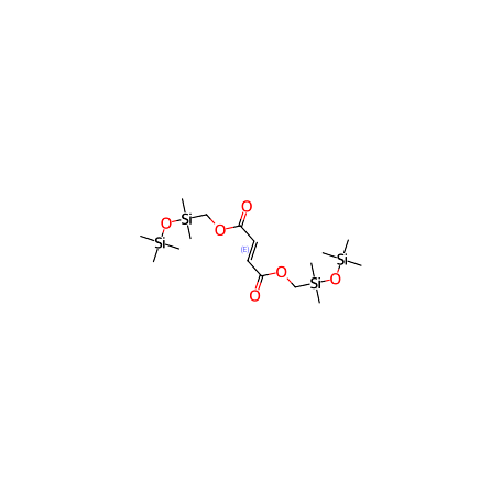 C[Si](C)(C)O[Si](C)(C)COC(=O)/C=C/C(=O)OC[Si](C)(C)O[Si](C)(C)C